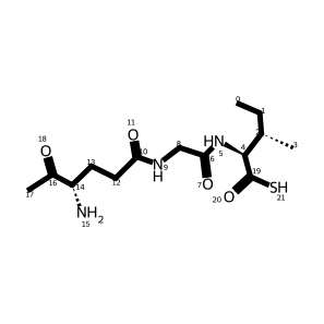 CC[C@H](C)[C@H](NC(=O)CNC(=O)CC[C@H](N)C(C)=O)C(=O)S